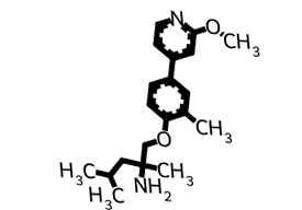 COc1cc(-c2ccc(OCC(C)(N)CC(C)C)c(C)c2)ccn1